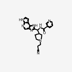 N#CCCN1CCC(C(NC(=O)c2cccnc2)c2nc3cnc4[nH]ccc4c3[nH]2)CC1